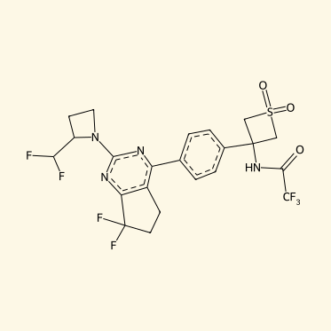 O=C(NC1(c2ccc(-c3nc(N4CCC4C(F)F)nc4c3CCC4(F)F)cc2)CS(=O)(=O)C1)C(F)(F)F